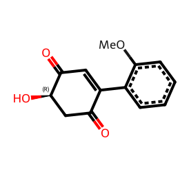 COc1ccccc1C1=CC(=O)[C@H](O)CC1=O